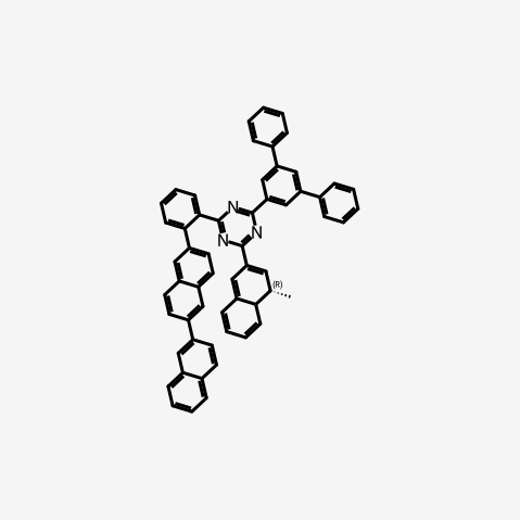 C[C@H]1C=C(c2nc(-c3cc(-c4ccccc4)cc(-c4ccccc4)c3)nc(-c3ccccc3-c3ccc4cc(-c5ccc6ccccc6c5)ccc4c3)n2)C=C2C=CC=CC21